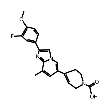 COc1ccc(-c2cn3cc(C4=CCN(C(=O)O)CC4)cc(C)c3n2)cc1F